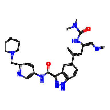 C=N/C=C(\C=C(/C)c1ccc2[nH]nc(C(=O)Nc3ccc(CN4CCCCC4)nc3)c2c1)NC(=O)N(C)C